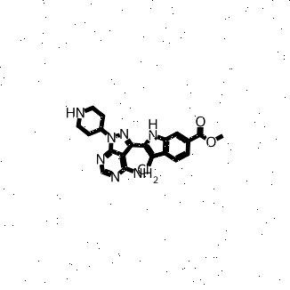 COC(=O)c1ccc2c(Cl)c(-c3nn(C4CCNCC4)c4ncnc(N)c34)[nH]c2c1